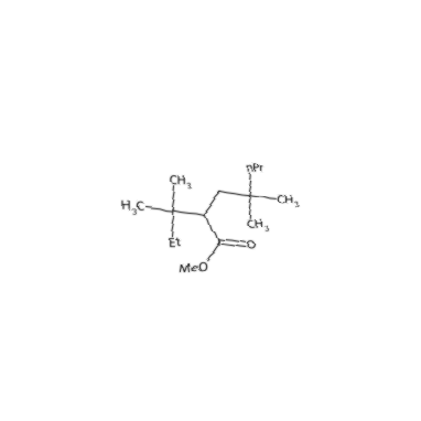 CCCC(C)(C)CC(C(=O)OC)C(C)(C)CC